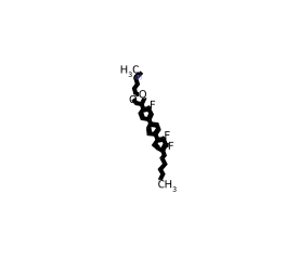 C/C=C/CCC1OCC(c2ccc(-c3ccc(-c4ccc(CCCCCCC)c(F)c4F)cc3)cc2F)CO1